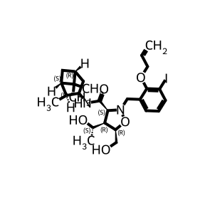 C=CCOc1c(I)cccc1CN1O[C@@H](CO)[C@@H]([C@H](C)O)[C@H]1C(=O)NC1C[C@H]2C[C@@H]([C@@H]1C)C2(C)C